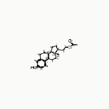 CC(=O)OCCC1CCC2C3CCc4cc(O)ccc4C3CCC12C